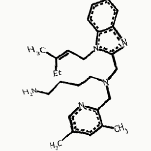 CC/C(C)=C\Cn1c(CN(CCCCN)Cc2ncc(C)cc2C)nc2ccccc21